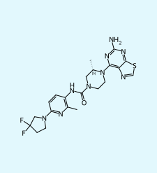 Cc1nc(N2CCC(F)(F)C2)ccc1NC(=O)N1CCN(c2nc(N)nc3scnc23)[C@@H](C)C1